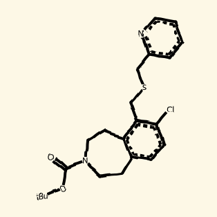 CC(C)(C)OC(=O)N1CCc2ccc(Cl)c(CSCc3ccccn3)c2CC1